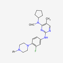 Cc1cnc(Nc2ccc(N3CCN(C(C)C)CC3)c(F)c2)nc1N(C=O)C1CCCC1